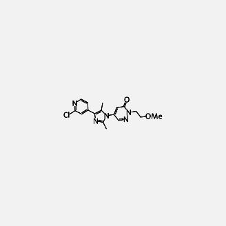 COCCn1ncc(-n2c(C)nc(-c3ccnc(Cl)c3)c2C)cc1=O